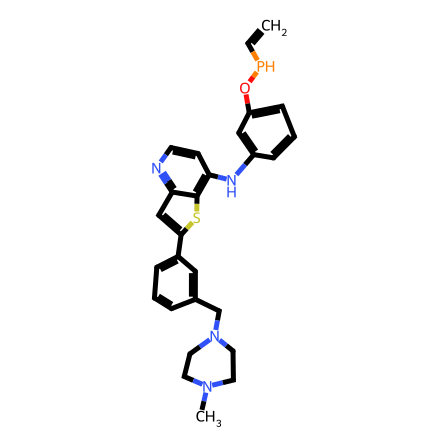 C=CPOc1cccc(Nc2ccnc3cc(-c4cccc(CN5CCN(C)CC5)c4)sc23)c1